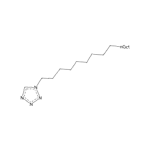 CCCCCCCCCCCCCCCCCn1cnnn1